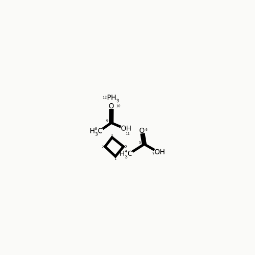 C1CCC1.CC(=O)O.CC(=O)O.P